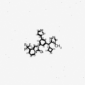 Cn1cnnc1[C@H](c1cc(-c2ccns2)cc(-n2cc3c(C(F)(F)F)cccn3c2=O)c1)C1CCC1